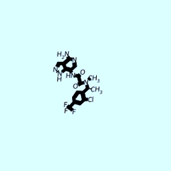 C[C@H](c1ccc(C(F)(F)F)cc1Cl)N(C)C(=O)C(=O)Nc1cnc(N)c2cn[nH]c12